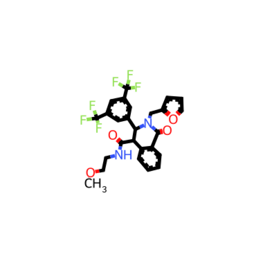 COCCNC(=O)C1c2ccccc2C(=O)N(Cc2ccco2)C1c1cc(C(F)(F)F)cc(C(F)(F)F)c1